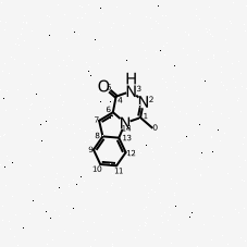 Cc1n[nH]c(=O)c2cc3ccccc3n12